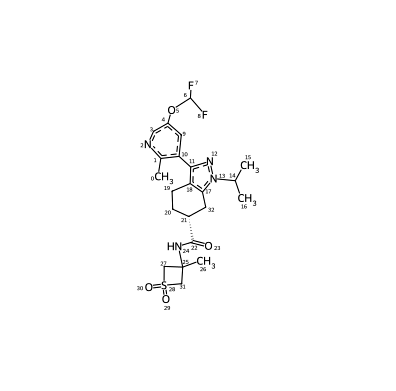 Cc1ncc(OC(F)F)cc1-c1nn(C(C)C)c2c1CC[C@@H](C(=O)NC1(C)CS(=O)(=O)C1)C2